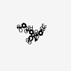 COC(=O)c1cccc(NC(=O)c2ccc3c(c2)C2(CCS(=O)(=O)CC2)C(C2CC2)N3S(=O)(=O)c2cccc(OC(F)(F)F)c2)c1